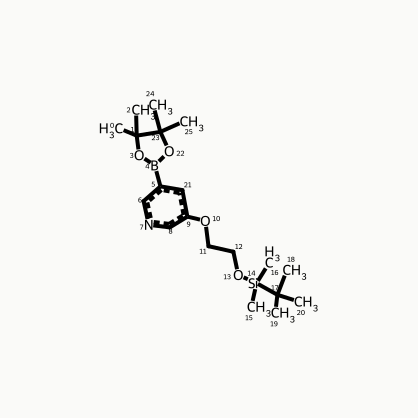 CC1(C)OB(c2cncc(OCCO[Si](C)(C)C(C)(C)C)c2)OC1(C)C